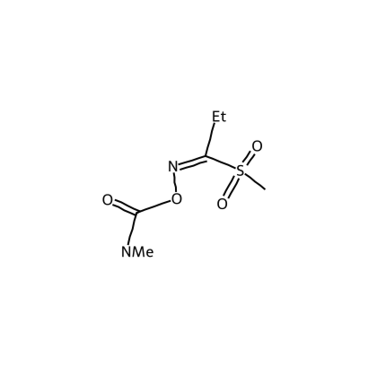 CCC(=NOC(=O)NC)S(C)(=O)=O